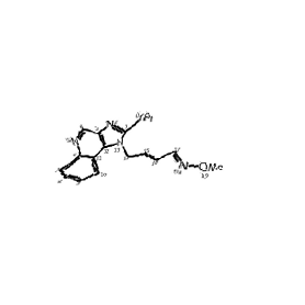 CCCc1nc2cnc3ccccc3c2n1CCC/C=N/OC